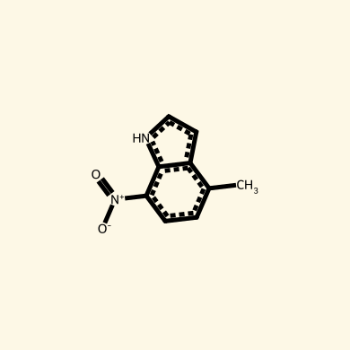 Cc1ccc([N+](=O)[O-])c2[nH]ccc12